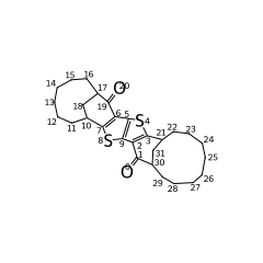 O=C1c2c(sc3c4c(sc23)C2CCCCCCC(C2)C4=O)C2CCCCCCCCC1C2